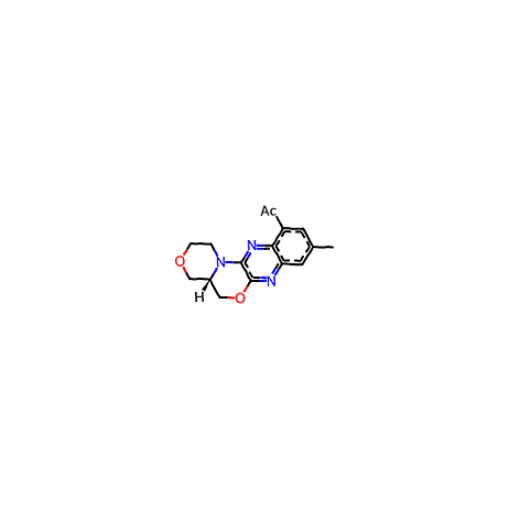 CC(=O)c1cc(C)cc2nc3c(nc12)N1CCOC[C@H]1CO3